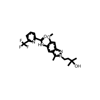 COc1cc2nn(CCC(C)(C)O)c(C)c2cc1NC(=O)c1cccc(C(F)(F)F)n1